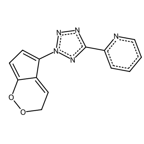 C1=C2OOCC=C2C(n2nnc(-c3ccccn3)n2)=C1